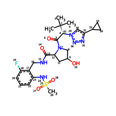 CC(C)(C)[C@@H](C(=O)N1CC(O)CC1C(=O)NCc1c(F)cccc1NS(C)(=O)=O)n1cc(C2CC2)nn1